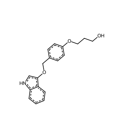 OCCCOc1ccc(COc2c[nH]c3ccccc23)cc1